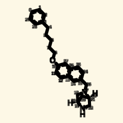 c1ccc(CCCCCOc2ccc3cc(CN4C[C@H]5C[C@@H]4CN5)ccc3c2)cc1